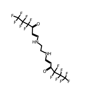 O=C(C=CNCCNC=CC(=O)C(F)(F)C(F)(F)C(F)(F)F)C(F)(F)C(F)(F)C(F)(F)F